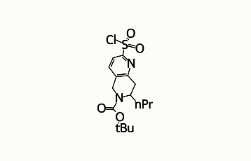 CCCC1Cc2nc(S(=O)(=O)Cl)ccc2CN1C(=O)OC(C)(C)C